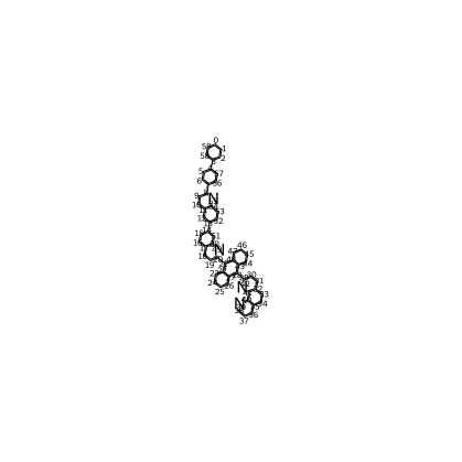 c1ccc(-c2ccc(-c3ccc4cc(-c5ccc6ccc(-c7c8ccccc8c(-c8ccc9ccc%10cccnc%10c9n8)c8ccccc78)nc6c5)ccc4n3)cc2)cc1